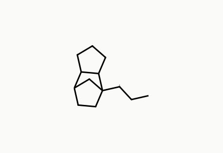 CC[CH]C12CCC(C1)C1CCCC12